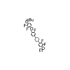 CCCCOc1ccc(OCc2ccc(C3CCC(c4ccc(OCC)c(F)c4F)CC3)cc2F)c(F)c1F